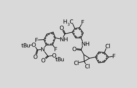 Cc1c(F)cc(NC(=O)C2C(c3ccc(F)c(Cl)c3)C2(Cl)Cl)cc1C(=O)Nc1ccc(F)c(N(C(=O)OC(C)(C)C)C(=O)OC(C)(C)C)c1F